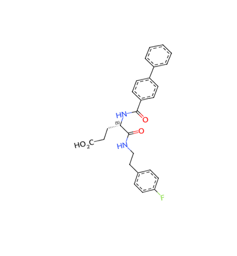 O=C(O)CC[C@H](NC(=O)c1ccc(-c2ccccc2)cc1)C(=O)NCCc1ccc(F)cc1